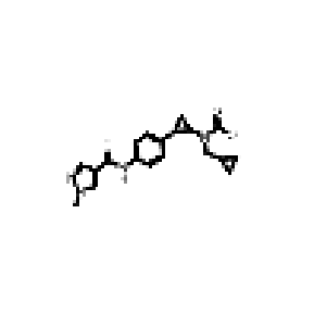 Cn1cc(C(=O)Nc2ccc(C3CC3N(CC3CC3)C(=O)O)cc2)cn1